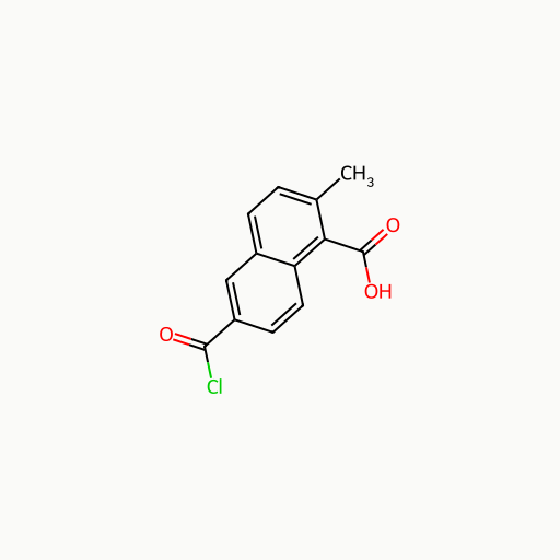 Cc1ccc2cc(C(=O)Cl)ccc2c1C(=O)O